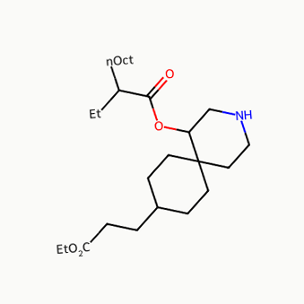 CCCCCCCCC(CC)C(=O)OC1CNCCC12CCC(CCC(=O)OCC)CC2